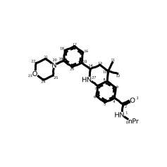 CCCNC(=O)c1ccc2c(c1)C(C)(C)CC(c1cccc(N3CCOCC3)c1)N2